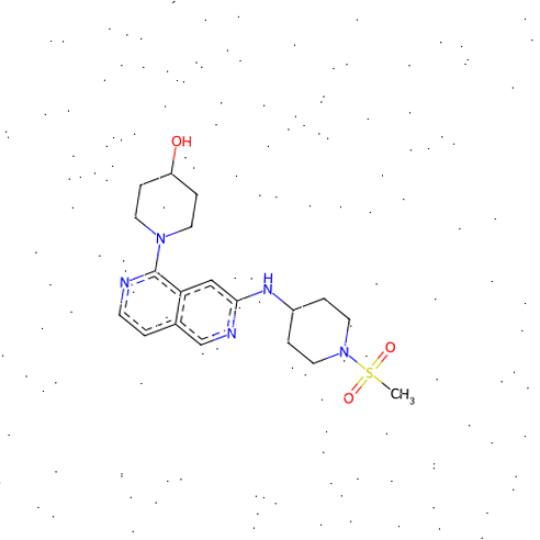 CS(=O)(=O)N1CCC(Nc2cc3c(N4CCC(O)CC4)nccc3cn2)CC1